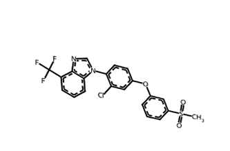 CS(=O)(=O)c1cccc(Oc2ccc(-n3cnc4c(C(F)(F)F)cccc43)c(Cl)c2)c1